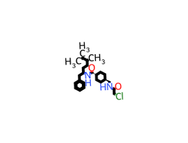 CC(C)C(C)CCC(Cc1ccccc1)NC(=O)[C@H]1CC[C@H](CNC(=O)CCl)CC1